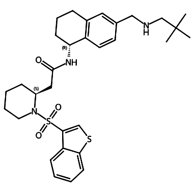 CC(C)(C)CNCc1ccc2c(c1)CCC[C@H]2NC(=O)C[C@@H]1CCCCN1S(=O)(=O)c1csc2ccccc12